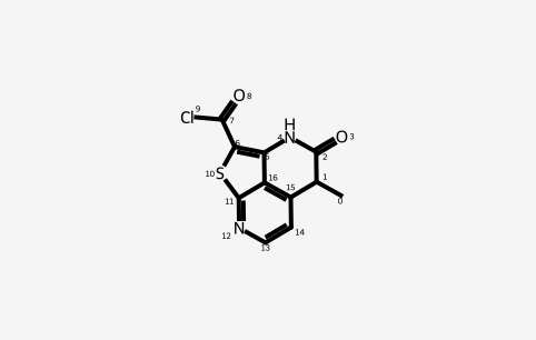 CC1C(=O)Nc2c(C(=O)Cl)sc3nccc1c23